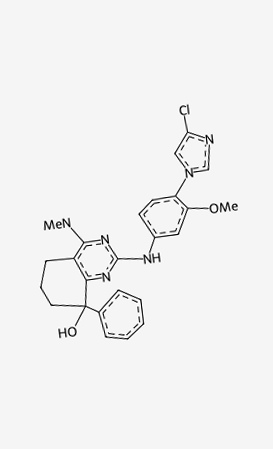 CNc1nc(Nc2ccc(-n3cnc(Cl)c3)c(OC)c2)nc2c1CCCC2(O)c1ccccc1